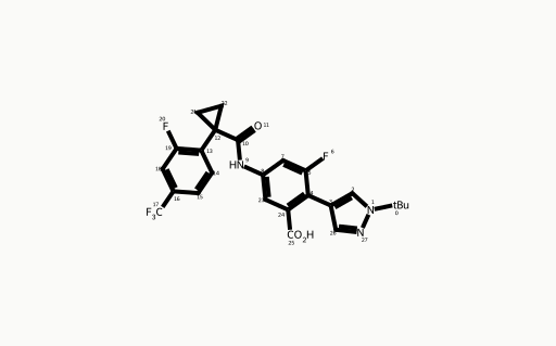 CC(C)(C)n1cc(-c2c(F)cc(NC(=O)C3(c4ccc(C(F)(F)F)cc4F)CC3)cc2C(=O)O)cn1